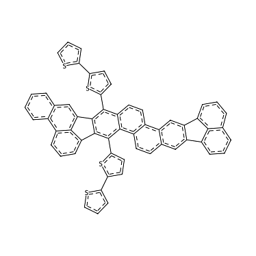 c1csc(-c2ccc(-c3c4c(c(-c5ccc(-c6cccs6)s5)c5c3ccc3c6cc7c(cc6ccc35)-c3cccc5cccc-7c35)-c3cccc5c3c-4cc3ccccc35)s2)c1